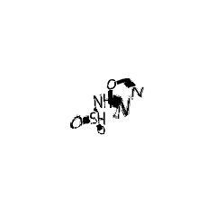 N[SH](=O)=O.c1nnco1